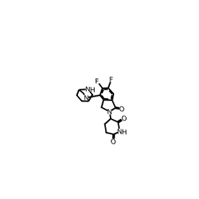 O=C1CCC(N2Cc3c(cc(F)c(F)c3N3CC4CCC3CN4)C2=O)C(=O)N1